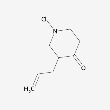 C=CCC1CN(Cl)CCC1=O